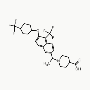 CC(c1ccc2c(C(F)(F)F)c(OC3CCC(C(F)(F)F)CC3)ccc2c1)N1CCC(C(=O)O)CC1